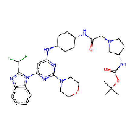 CC(C)(C)OC(=O)N[C@H]1CCN(CC(=O)N[C@H]2CC[C@H](Nc3cc(-n4c(C(F)F)nc5ccccc54)nc(N4CCOCC4)n3)CC2)C1